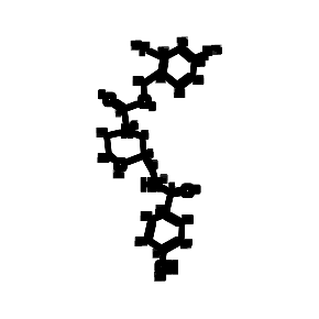 O=C(NC[C@@H]1CN(C(=O)OCc2ccc(F)cc2F)CCO1)c1ccc(O)cc1